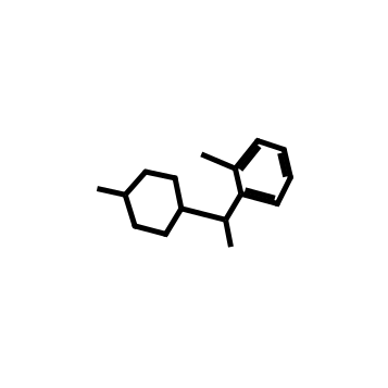 Cc1ccccc1C(C)C1CCC(C)CC1